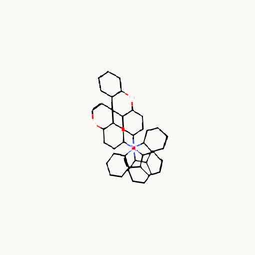 C1CCC2=C(C1)C1CCCCC1N2C1CCC2OC3CCCCC3C3(C4CCCCC4OC4CCC(N5C6CCCCC6C6CCCCC65)CC43)C2C1